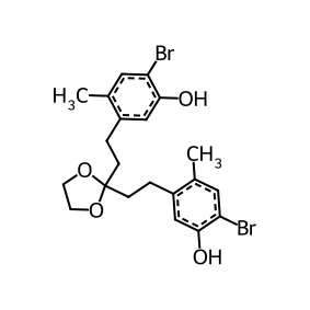 Cc1cc(Br)c(O)cc1CCC1(CCc2cc(O)c(Br)cc2C)OCCO1